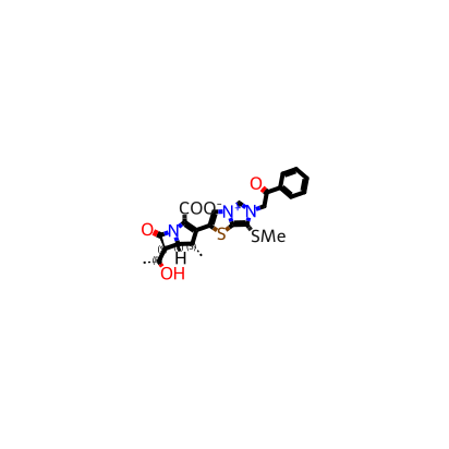 CSc1c2sc(C3=C(C(=O)[O-])N4C(=O)[C@H]([C@@H](C)O)[C@H]4[C@H]3C)c[n+]2cn1CC(=O)c1ccccc1